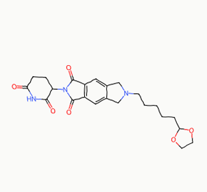 O=C1CCC(N2C(=O)c3cc4c(cc3C2=O)CN(CCCCCC2OCCO2)C4)C(=O)N1